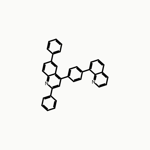 c1ccc(-c2ccc3nc(-c4ccccc4)cc(-c4ccc(-c5cccc6cccnc56)cc4)c3c2)cc1